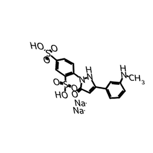 CNc1cccc(-c2cc(=O)n(-c3ccc(S(=O)(=O)O)cc3S(=O)(=O)O)[nH]2)c1.[Na].[Na]